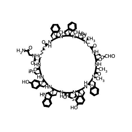 CCCC[C@H]1C(=O)N(C)CC(=O)N[C@@H](COC=O)C(=O)N[C@@H](C)C(=O)N(C)[C@@H](Cc2ccccc2)C(=O)N[C@@H](Cc2ccc(O)cc2)C(=O)N2CSC[C@@H]2C(=O)N[C@@H](Cc2c[nH]c3ccccc23)C(=O)N[C@@H](Cc2ccc(O)cc2)C(=O)N[C@@H](CC(C)C)C(=O)N[C@H](C(=O)NCC(N)=O)CSCC(=O)N[C@@H](Cc2ccccc2)C(=O)N(C)[C@@H](Cc2ccccc2)C(=O)N1C